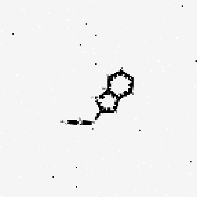 O=C=Nc1cc2c[c]ccc2s1